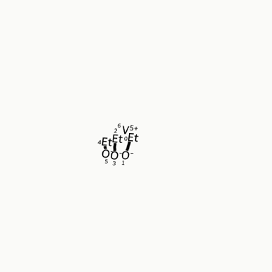 CC[O-].CC[O-].CC[O-].[V+5]